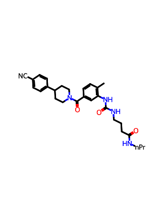 CCCNC(=O)CCCNC(=O)Nc1cc(C(=O)N2CCC(c3ccc(C#N)cc3)CC2)ccc1C